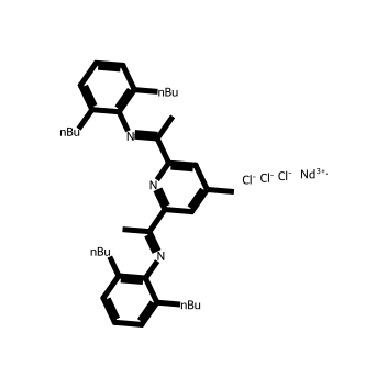 CCCCc1cccc(CCCC)c1N=C(C)c1cc(C)cc(C(C)=Nc2c(CCCC)cccc2CCCC)n1.[Cl-].[Cl-].[Cl-].[Nd+3]